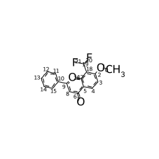 COc1ccc2c(=O)cc(-c3ccccc3)oc2c1C(F)F